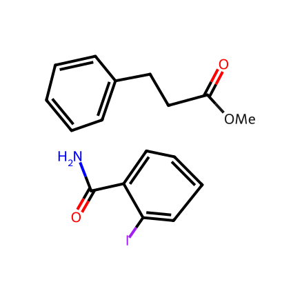 COC(=O)CCc1ccccc1.NC(=O)c1ccccc1I